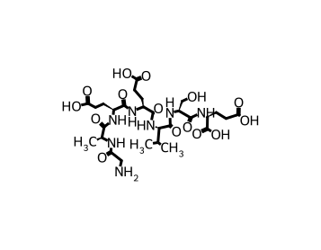 CC(C)[C@H](NC(=O)[C@H](CCC(=O)O)NC(=O)[C@H](CCC(=O)O)NC(=O)[C@H](C)NC(=O)CN)C(=O)N[C@@H](CO)C(=O)N[C@@H](CCC(=O)O)C(=O)O